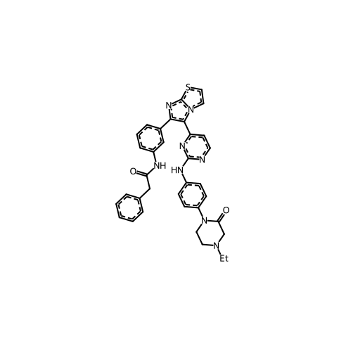 CCN1CCN(c2ccc(Nc3nccc(-c4c(-c5cccc(NC(=O)Cc6ccccc6)c5)nc5sccn45)n3)cc2)C(=O)C1